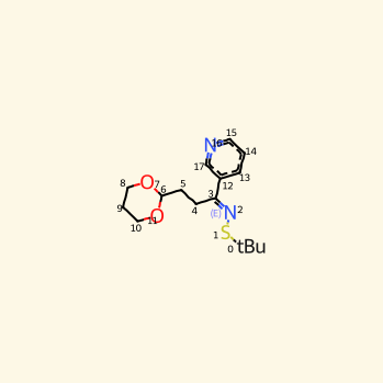 CC(C)(C)S/N=C(\CCC1OCCCO1)c1cccnc1